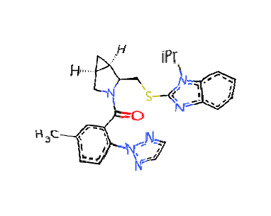 Cc1ccc(-n2nccn2)c(C(=O)N2C[C@H]3C[C@H]3[C@H]2CSc2nc3ccccc3n2C(C)C)c1